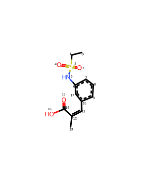 CCS(=O)(=O)Nc1cccc(C=C(C)C(=O)O)c1